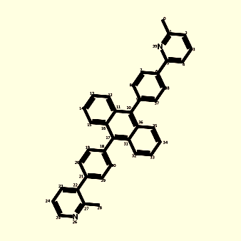 Cc1cccc(-c2ccc(-c3c4ccccc4c(-c4ccc(-c5cccnc5C)cc4)c4ccccc34)cc2)n1